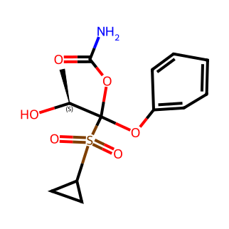 C[C@H](O)C(OC(N)=O)(Oc1ccccc1)S(=O)(=O)C1CC1